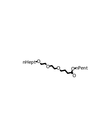 CCCCCCCOCCOCCOCCCC(=O)OCCCCC